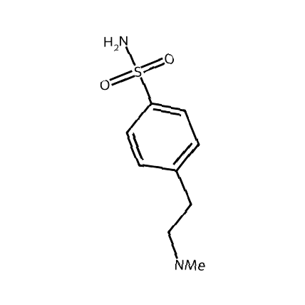 CNCCc1ccc(S(N)(=O)=O)cc1